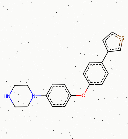 c1cc(-c2ccc(Oc3ccc(N4CCNCC4)cc3)cc2)cs1